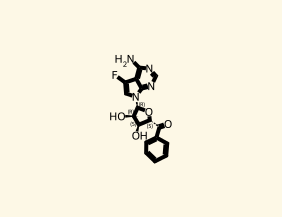 Nc1ncnc2c1c(F)cn2[C@@H]1O[C@H](C(=O)c2ccccc2)[C@@H](O)[C@H]1O